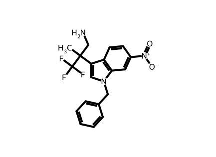 CC(CN)(c1cn(Cc2ccccc2)c2cc([N+](=O)[O-])ccc12)C(F)(F)F